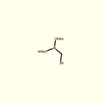 CCCCC[CH2][Al]([CH2]CCCCC)[CH2]C(C)C